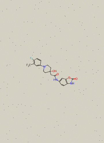 O=C(CC1(O)CCN(c2ccc(F)c(C(F)(F)F)c2)CC1)Nc1ccc2[nH]c(=O)oc2c1